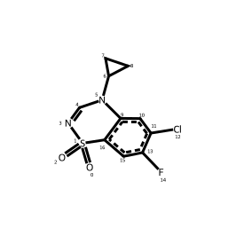 O=S1(=O)N=CN(C2CC2)c2cc(Cl)c(F)cc21